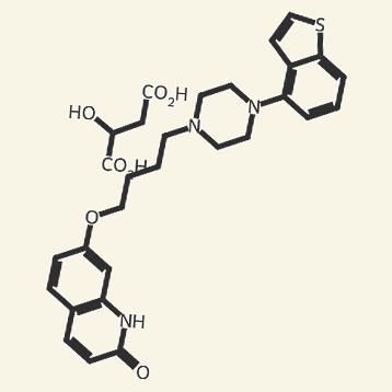 O=C(O)CC(O)C(=O)O.O=c1ccc2ccc(OCCCCN3CCN(c4cccc5sccc45)CC3)cc2[nH]1